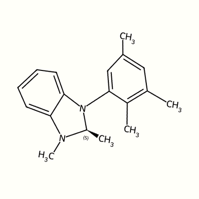 Cc1cc(C)c(C)c(N2c3ccccc3N(C)[C@@H]2C)c1